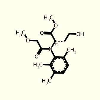 COCC(=O)N(c1c(C)ccc(C)c1C)[C@@H](CCO)C(=O)OC